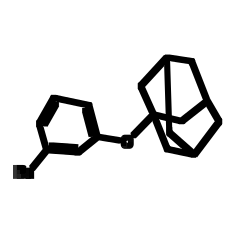 CCC(C)c1cccc(OC23CC4CC(CC(C4)C2)C3)c1